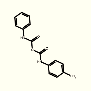 Cc1ccc(NC(=O)OC(=O)Nc2ccccc2)cc1